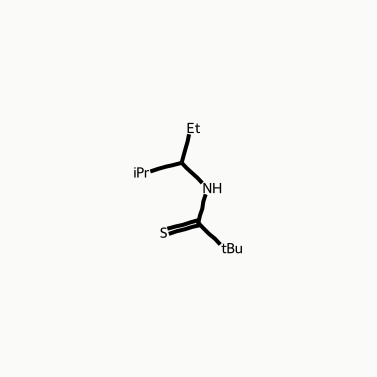 CCC(NC(=S)C(C)(C)C)C(C)C